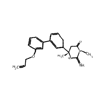 C=CCOc1cccc(C2=CC([C@]3(C)CC(=O)N(C)C(=N)N3)CC=C2)c1